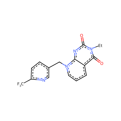 CCn1c(=O)nc2n(Cc3ccc(C(F)(F)F)nc3)cccc-2c1=O